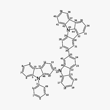 c1ccc(-n2c3ccccc3c3ccc(-n4c5ccccc5c5ccc(-c6ccc7c(c6)c6cccc8c9ccccc9n7c86)cc54)cc32)cc1